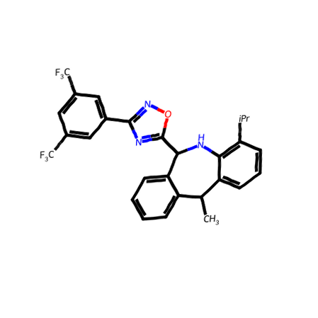 CC(C)c1cccc2c1NC(c1nc(-c3cc(C(F)(F)F)cc(C(F)(F)F)c3)no1)c1ccccc1C2C